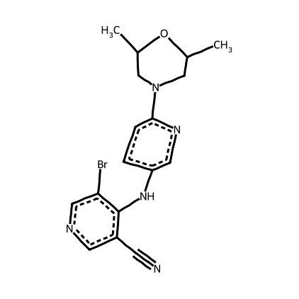 CC1CN(c2ccc(Nc3c(Br)cncc3C#N)cn2)CC(C)O1